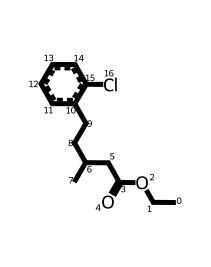 CCOC(=O)CC(C)CCc1ccccc1Cl